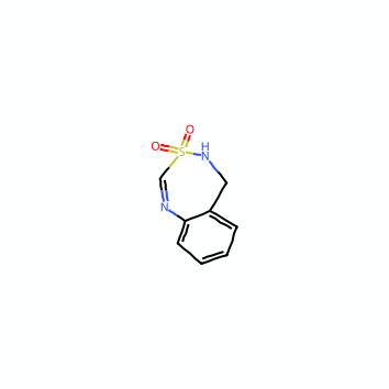 O=S1(=O)C=Nc2ccccc2CN1